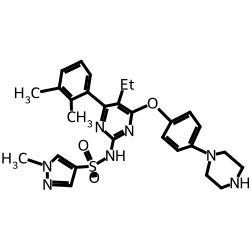 CCc1c(Oc2ccc(N3CCNCC3)cc2)nc(NS(=O)(=O)c2cnn(C)c2)nc1-c1cccc(C)c1C